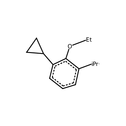 CCOc1c([C](C)C)cccc1C1CC1